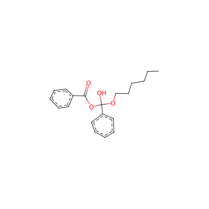 CCCCCCOC(O)(OC(=O)c1ccccc1)c1ccccc1